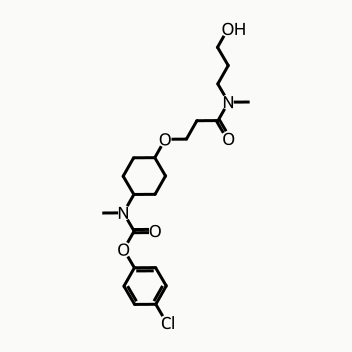 CN(CCCO)C(=O)CCOC1CCC(N(C)C(=O)Oc2ccc(Cl)cc2)CC1